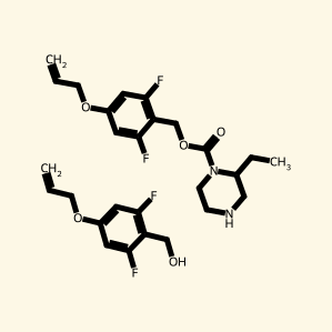 C=CCOc1cc(F)c(CO)c(F)c1.C=CCOc1cc(F)c(COC(=O)N2CCNCC2CC)c(F)c1